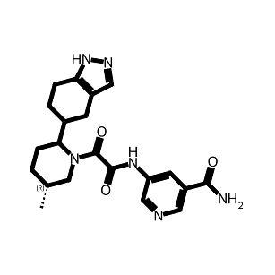 C[C@@H]1CCC(C2CCc3[nH]ncc3C2)N(C(=O)C(=O)Nc2cncc(C(N)=O)c2)C1